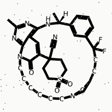 Cc1nc2c3cc(C4(C#N)CCS(=O)(=O)CC4)c(=O)n(c3n1)CCCCCCN1CC(CCC(F)(F)c3cccc(c3)[C@@H](C)N2)C1